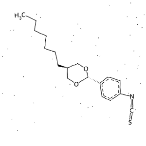 CCCCCCC[C@H]1CO[C@H](c2ccc(N=C=S)cc2)OC1